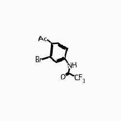 CC(=O)c1ccc(NC(=O)C(F)(F)F)cc1Br